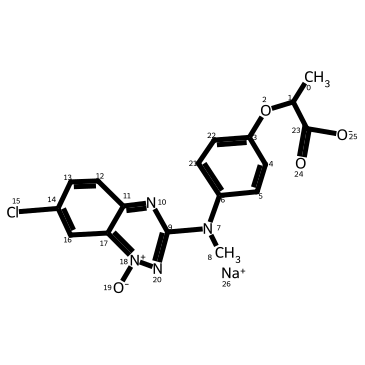 CC(Oc1ccc(N(C)c2nc3ccc(Cl)cc3[n+]([O-])n2)cc1)C(=O)[O-].[Na+]